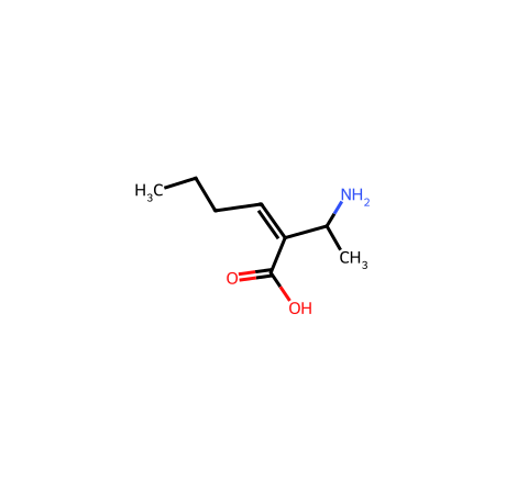 CCCC=C(C(=O)O)C(C)N